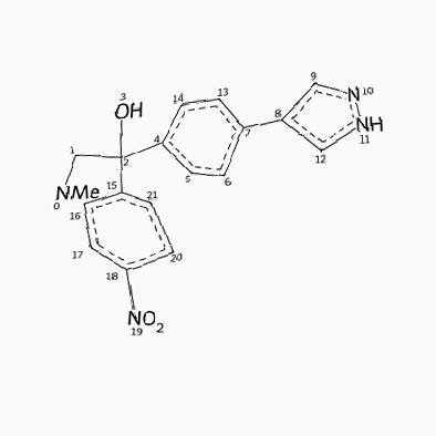 CNCC(O)(c1ccc(-c2cn[nH]c2)cc1)c1ccc([N+](=O)[O-])cc1